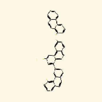 Sc1cc(-c2ccc3ccc4cccc(S)c4c3c2)c2ccc3ccc(Sc4cccc5c4ccc4ccccc45)cc3c2c1